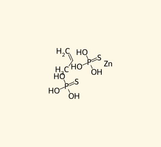 C=CC.OP(O)(O)=S.OP(O)(O)=S.[Zn]